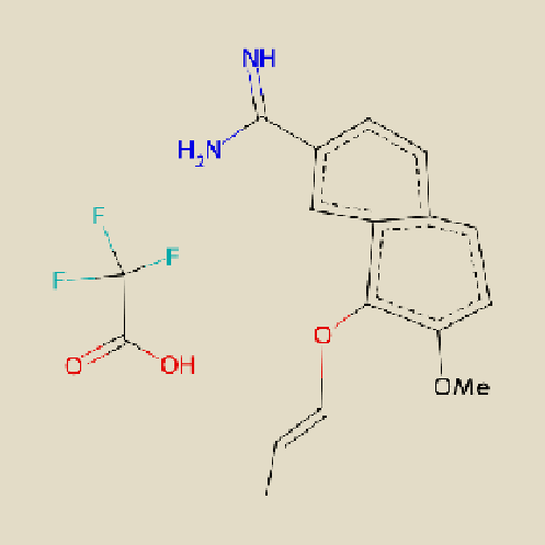 CC=COc1c(OC)ccc2ccc(C(=N)N)cc12.O=C(O)C(F)(F)F